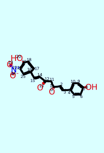 O=C(C=Cc1ccc(O)cc1)CC(=O)C=Cc1ccc(O)c([N+](=O)[O-])c1